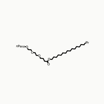 CCCCCOCCOCCOCCCC(=O)OCCCCCCCCCCCCCCCC(C)C